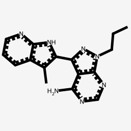 CCCn1nc(-c2[nH]c3ncccc3c2C)c2c(N)ncnc21